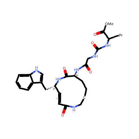 COC(=O)C(NC(=O)NCC(=O)N[C@H]1CCCCNC(=O)/C=C/[C@H](Cc2c[nH]c3ccccc23)NC1=O)C(C)C